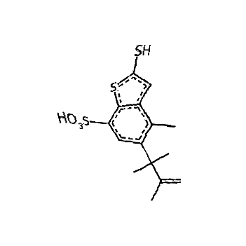 C=C(C)C(C)(C)c1cc(S(=O)(=O)O)c2sc(S)cc2c1C